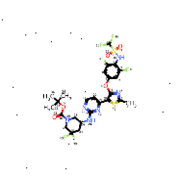 Cc1nc(Oc2cc(F)c(NS(=O)(=O)C(F)F)c(F)c2)c(-c2ccnc(N[C@@H]3CN(C(=O)OC(C)(C)C)CC(F)(F)C3)n2)s1